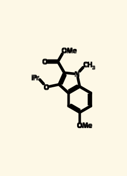 COC(=O)c1c(OC(C)C)c2cc(OC)ccc2n1C